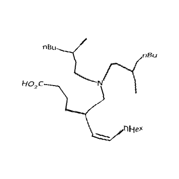 CCCCCC/C=C\C(CCC(=O)O)CN(CC(C)CCCC)CC(C)CCCC